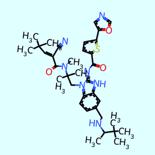 CC(NCc1ccc2c(c1)[nH]c(=NC(=O)c1ccc(-c3cnco3)s1)n2CC(C)(C)N(C)C(=O)C(C#N)=CC(C)(C)C)C(C)(C)C